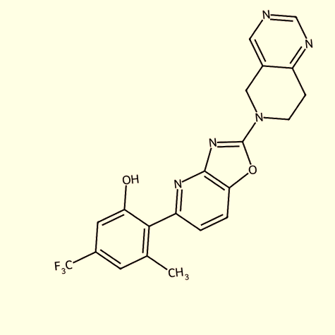 Cc1cc(C(F)(F)F)cc(O)c1-c1ccc2oc(N3CCc4ncncc4C3)nc2n1